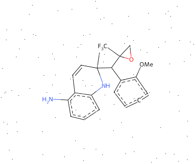 COc1ccccc1C(C1(C)C=Cc2c(N)cccc2N1)C1(C(F)(F)F)CO1